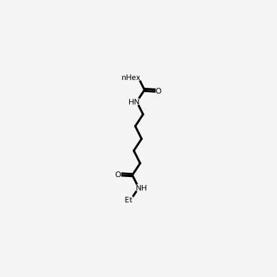 CCCCCCC(=O)NCCCCCC(=O)NCC